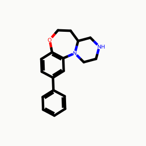 c1ccc(-c2ccc3c(c2)N2CCNCC2CCO3)cc1